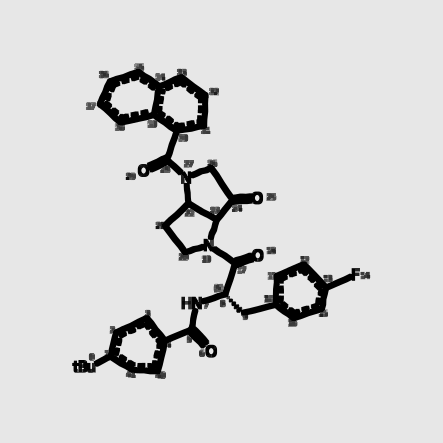 CC(C)(C)c1ccc(C(=O)N[C@@H](Cc2ccc(F)cc2)C(=O)N2CCC3C2C(=O)CN3C(=O)c2cccc3ccccc23)cc1